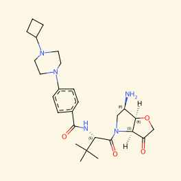 CC(C)(C)[C@H](NC(=O)c1ccc(N2CCN(C3CCC3)CC2)cc1)C(=O)N1C[C@@H](N)[C@H]2OCC(=O)[C@H]21